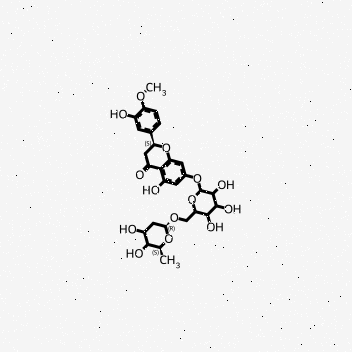 COc1ccc([C@@H]2CC(=O)c3c(O)cc(OC4OC(CO[C@H]5CC(O)C(O)[C@H](C)O5)C(O)C(O)C4O)cc3O2)cc1O